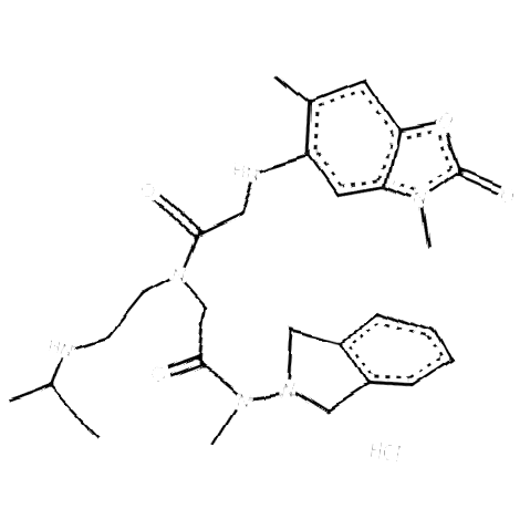 Cc1cc2oc(=O)n(C)c2cc1NCC(=O)N(CCNC(C)C)CC(=O)N(C)N1Cc2ccccc2C1.Cl